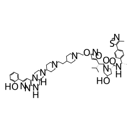 Cc1ncsc1-c1ccc([C@H](C)NC(=O)[C@@H]2C[C@@H](O)CN2C(=O)[C@@H](c2cc(OCCN3CCC(CCN4CCC(N5CCN6c7cc(-c8ccccc8O)nnc7NC[C@H]6C5)CC4)CC3)no2)C(C)C)cc1